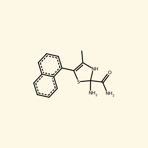 CC1=C(c2cccc3ccccc23)SC(N)(C(N)=O)N1